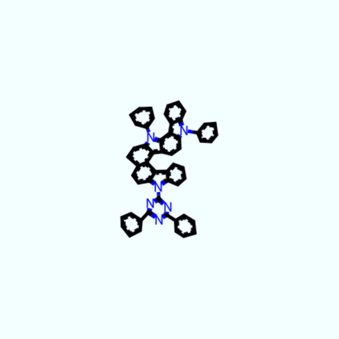 c1ccc(-c2nc(-c3ccccc3)nc(-n3c4ccccc4c4c5c(ccc43)ccc3c5c4ccc5c(c6ccccc6n5-c5ccccc5)c4n3-c3ccccc3)n2)cc1